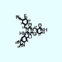 Cc1nc2cc(Cl)c(Nc3nc(=O)n(Cc4ccc[nH]c4=O)c(=O)n3Cc3ccc(F)c(C#N)c3)cc2n1C